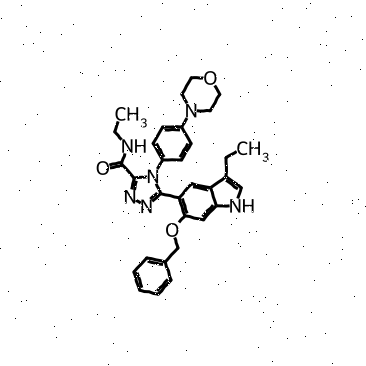 CCNC(=O)c1nnc(-c2cc3c(CC)c[nH]c3cc2OCc2ccccc2)n1-c1ccc(N2CCOCC2)cc1